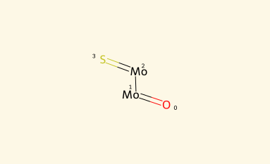 [O]=[Mo][Mo]=[S]